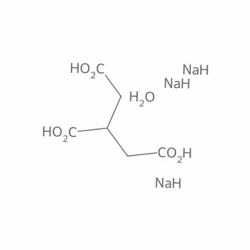 O.O=C(O)CC(CC(=O)O)C(=O)O.[NaH].[NaH].[NaH]